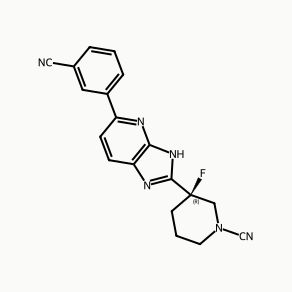 N#Cc1cccc(-c2ccc3nc([C@@]4(F)CCCN(C#N)C4)[nH]c3n2)c1